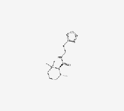 C[C@@H]1CCCC(C)(C)[C@H]1C(=O)NCCc1cccs1